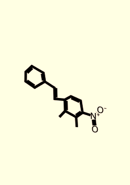 Cc1c(C=Cc2ccccc2)ccc([N+](=O)[O-])c1C